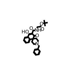 CC(C)(C)OC(=O)CNC(=O)C1=C(O)c2ccccc2C2(CCN(Cc3ccccc3)CC2)C1=O